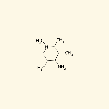 CC1CN(C)C(C)C(C)C1N